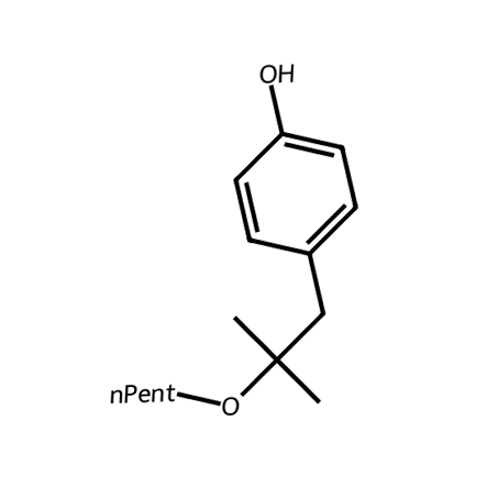 CCCCCOC(C)(C)Cc1ccc(O)cc1